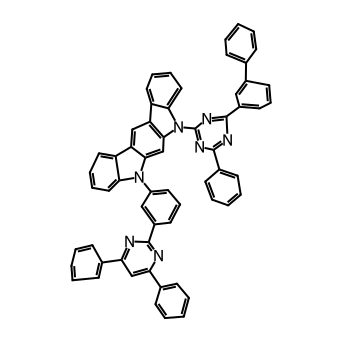 c1ccc(-c2cccc(-c3nc(-c4ccccc4)nc(-n4c5ccccc5c5cc6c7ccccc7n(-c7cccc(-c8nc(-c9ccccc9)cc(-c9ccccc9)n8)c7)c6cc54)n3)c2)cc1